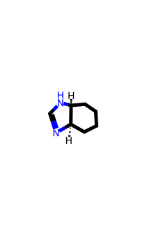 C1=N[C@@H]2CCCC[C@@H]2N1